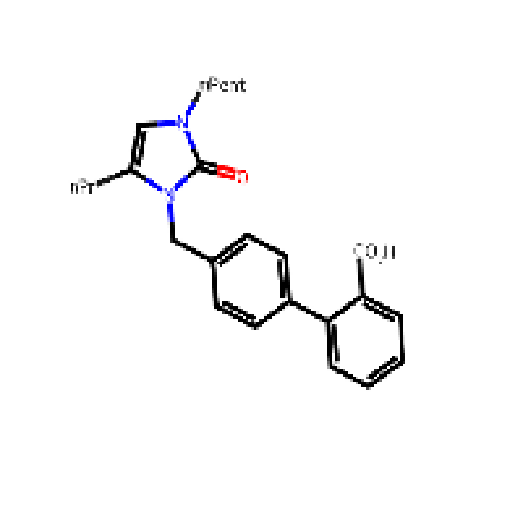 CCCCCn1cc(CCC)n(Cc2ccc(-c3ccccc3C(=O)O)cc2)c1=O